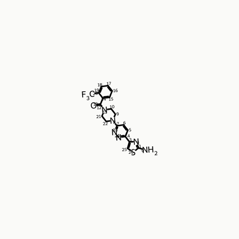 Nc1nc(-c2ccc(N3CCN(C(=O)c4ccccc4C(F)(F)F)CC3)nn2)cs1